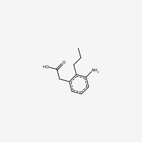 CCCc1c(N)cccc1CC(=O)O